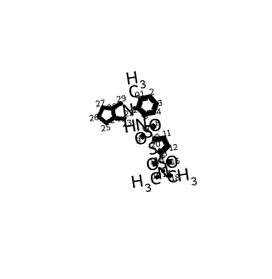 Cc1cccc(NS(=O)(=O)c2ccc(S(=O)(=O)N(C)C)s2)c1N1CC2CCCC2C1